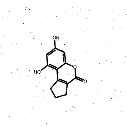 O=c1oc2cc(O)cc(O)c2c2c1CCC2